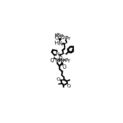 CC1=C(C)C(=O)C(CCCCC(CNC(=O)[C@@H]2CCCN2C(=O)[C@H](/C=C/[C@H](CC(C)C)NC(=O)OC(C)(C)C)Cc2ccccc2)C(=O)NC(C)C)=C(C)C1=O